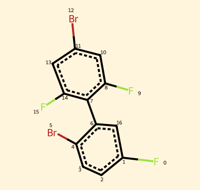 Fc1c[c]c(Br)c(-c2c(F)cc(Br)cc2F)c1